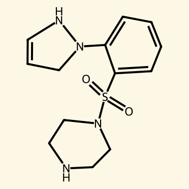 O=S(=O)(c1ccccc1N1CC=CN1)N1CCNCC1